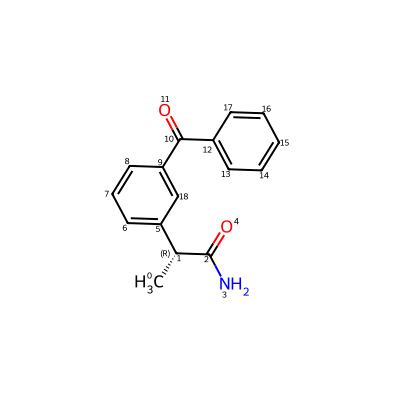 C[C@@H](C(N)=O)c1cccc(C(=O)c2ccccc2)c1